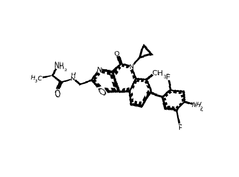 Cc1c(-c2cc(F)c(N)cc2F)ccc2c3oc(CNC(=O)[C@@H](C)N)nc3c(=O)n(C3CC3)c12